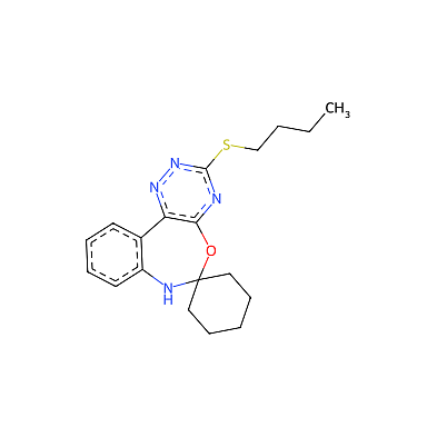 CCCCSc1nnc2c(n1)OC1(CCCCC1)Nc1ccccc1-2